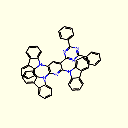 c1ccc(-c2nc(-c3ccccc3)nc(-c3cc(-n4c5ccccc5c5ccccc54)c(-n4c5ccccc5c5ccccc54)nc3-n3c4ccccc4c4ccccc43)n2)cc1